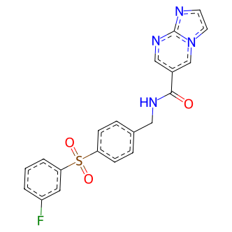 O=C(NCc1ccc(S(=O)(=O)c2cccc(F)c2)cc1)c1cnc2nccn2c1